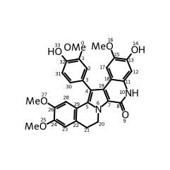 COc1cc(-c2c3n(c4c(=O)[nH]c5cc(O)c(OC)cc5c24)CCc2cc(OC)c(OC)cc2-3)ccc1O